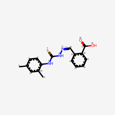 Cc1ccc(NC(=S)N/N=C\c2ccccc2C(=O)O)c(C)c1